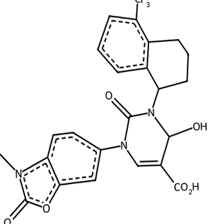 Cn1c(=O)oc2cc(N3C=C(C(=O)O)C(O)N(C4CCCc5c4cccc5C(F)(F)F)C3=O)ccc21